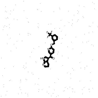 O=C(c1ccc(OCc2cccc(C(F)(F)F)c2)nc1)c1c[nH]c2ncccc12